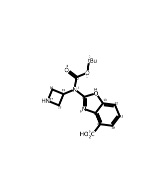 CC(C)(C)OC(=O)N(c1nc2c(C(=O)O)cccc2o1)C1CNC1